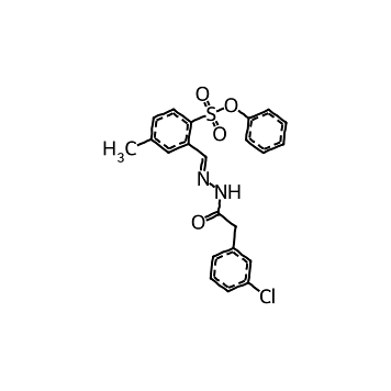 Cc1ccc(S(=O)(=O)Oc2ccccc2)c(C=NNC(=O)Cc2cccc(Cl)c2)c1